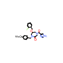 COc1ccc(CN2CC(OCc3ccccc3F)CN(C(=O)c3c[nH]cn3)CC2=O)cc1